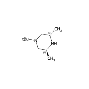 C[C@H]1CN(C(C)(C)C)C[C@H](C)N1